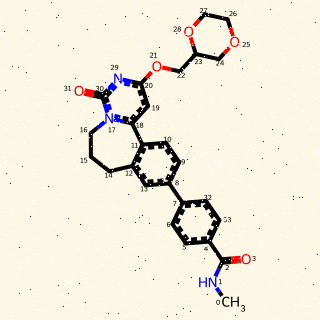 CNC(=O)c1ccc(-c2ccc3c(c2)CCCn2c-3cc(OCC3COCCO3)nc2=O)cc1